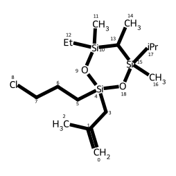 C=C(C)C[Si]1(CCCCl)O[Si](C)(CC)C(C)[Si](C)(C(C)C)O1